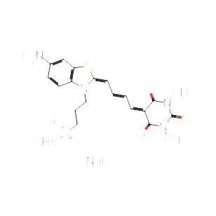 CN1C(=O)C(=CC=CC=C2Sc3cc(N)ccc3N2CCCS(=O)(=O)O)C(=O)N(C)C1=S.[NaH]